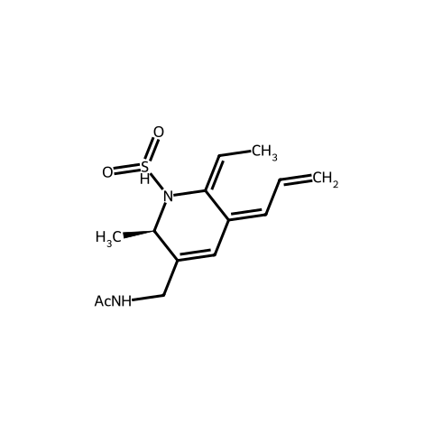 C=C/C=C1/C=C(CNC(C)=O)[C@@H](C)N([SH](=O)=O)/C1=C/C